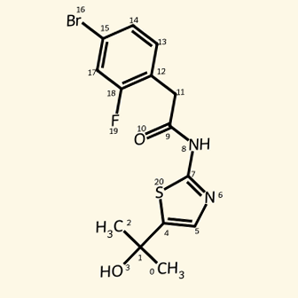 CC(C)(O)c1cnc(NC(=O)Cc2ccc(Br)cc2F)s1